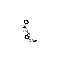 COc1cccc([C@@H](C)NC[C@@H]2C[C@H]2c2ccccc2)c1